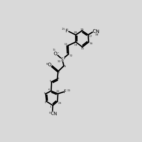 N#Cc1ccc(C=CC(=O)C[S+]([O-])C=Cc2ccc(C#N)cc2F)c(F)c1